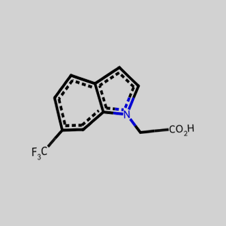 O=C(O)Cn1ccc2ccc(C(F)(F)F)cc21